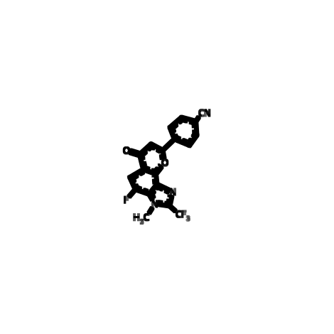 Cn1c(C(F)(F)F)nc2c3oc(-c4ccc(C#N)cc4)cc(=O)c3cc(F)c21